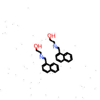 OCCN=Cc1cccc2ccccc12.OCCN=Cc1cccc2ccccc12